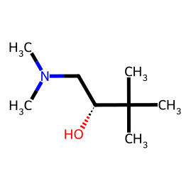 CN(C)C[C@@H](O)C(C)(C)C